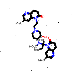 COc1cnc2ccc(=O)n(CCN3CC[C@@H](N(C(=O)O)C(C=O)(CC(C)(C)C)n4c(=O)ccc5ncc(OC)cc54)[C@H](O)C3)c2c1